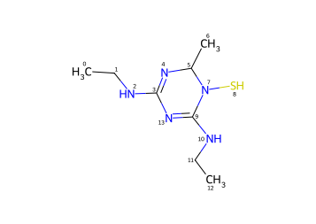 CCNC1=NC(C)N(S)C(NCC)=N1